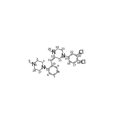 CN1CCN(c2ccccc2C=C2CN(c3ccc(Cl)c(Cl)c3)CCN2C)CC1